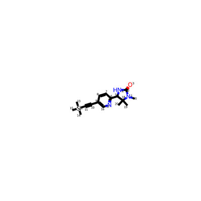 CN1C(=O)NC(c2ccc(C#C[Si](C)(C)C)cn2)C1(C)C